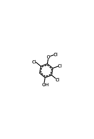 Oc1cc(Cl)c(OCl)c(Cl)c1Cl